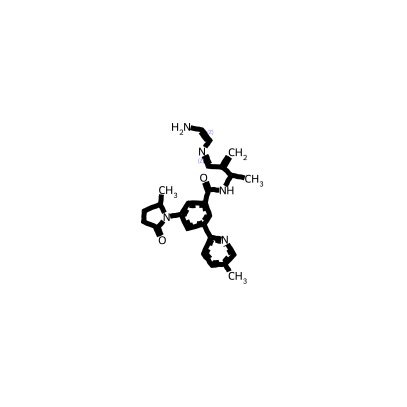 C=C(/C=N\C=C/N)C(C)NC(=O)c1cc(-c2ccc(C)cn2)cc(N2C(=O)CCC2C)c1